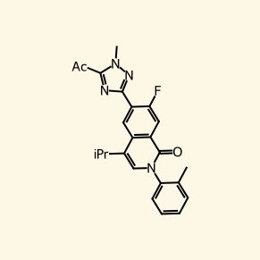 CC(=O)c1nc(-c2cc3c(C(C)C)cn(-c4ccccc4C)c(=O)c3cc2F)nn1C